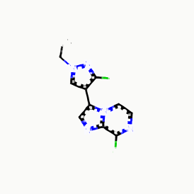 N#CCn1cc(-c2cnc3c(Cl)nccn23)c(Cl)n1